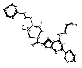 CC(=O)NCCNc1nc(-c2ccccc2)nc2[nH]c(C(=O)N3C[C@@H](C)N(CCCc4ccccc4)[C@@H](C)C3)cc12